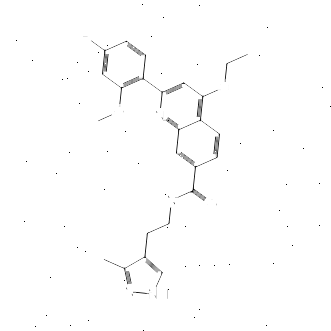 CCOc1cc(-c2ccc(F)cc2OC)nc2cc(C(=O)NCCc3c[nH]nc3C)ccc12